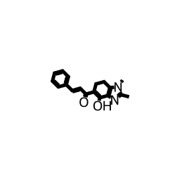 Cc1nc2c(n1C)CCC(C(=O)C=Cc1ccccc1)=C2O